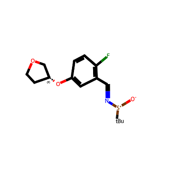 CC(C)(C)[S+]([O-])N=Cc1cc(O[C@@H]2CCOC2)ccc1F